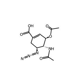 CC(=O)N[C@@H]1[C@@H](N=[N+]=[N-])CC(C(=O)O)=C[C@H]1OC(C)=O